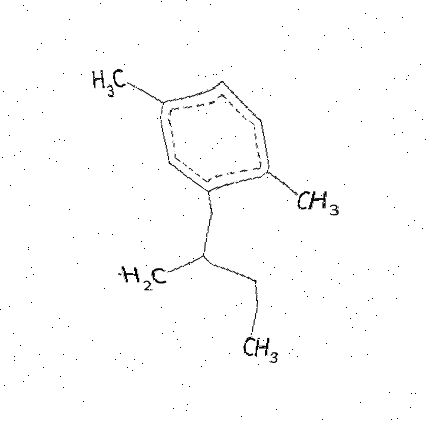 [CH2]C(CC)c1cc(C)ccc1C